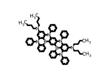 CCCCN(CCCC)c1cc2c3c(c1)N(c1ccccc1)c1cc4c(cc1B3c1ccccc1N2c1ccccc1)B1c2ccccc2N(c2ccccc2)c2cc(N(CCCC)CCCC)cc(c21)N4c1ccccc1